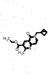 CCOC(=O)c1cc2c(=O)n(CC34CC(C3)C4)ccc2nc1C